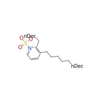 CCCCCCCCCCCCCCCc1ccc[n+](S(=O)(=O)[O-])c1CCCCCCCCCCC